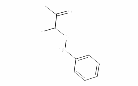 CC(=O)C(F)ONc1ccccc1